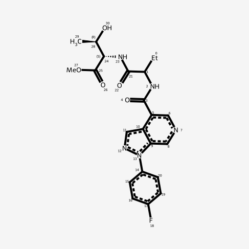 CCC(NC(=O)c1cncc2c1cnn2-c1ccc(F)cc1)C(=O)N[C@H](C(=O)OC)[C@@H](C)O